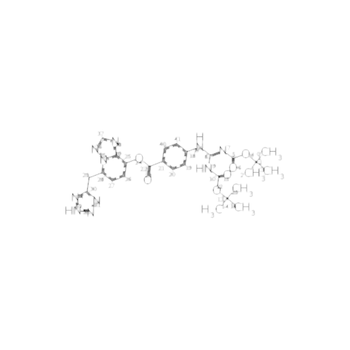 CC(C)(C)OC(=O)/N=C(\NC(=O)OC(C)(C)C)Nc1ccc(C(=O)Oc2ccc(Cc3nn[nH]n3)n3ncnc23)cc1